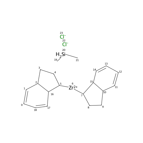 C1=CC2CC[CH]([Zr+2][CH]3CCC4C=CC=CC43)C2C=C1.C[SiH2]C.[Cl-].[Cl-]